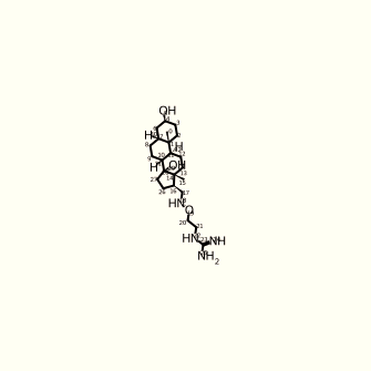 C[C@]12CC[C@H](O)C[C@H]1CC[C@@H]1[C@@H]2CC[C@]2(C)[C@@H](CNOCCNC(=N)N)CC[C@]12O